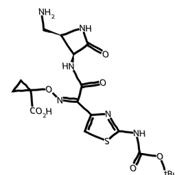 CC(C)(C)OC(=O)Nc1nc(C(=NOC2(C(=O)O)CC2)C(=O)N[C@@H]2C(=O)N[C@@H]2CN)cs1